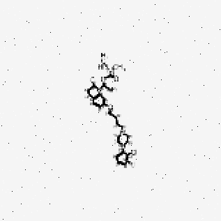 CPN(C)C(=O)OC(C(C)C)N1C(=O)CCc2ccc(OCCCCN3CCN(c4cccc(Cl)c4Cl)CC3)cc21